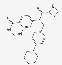 O=C([C@H]1CCN1)N(Cc1ccc(C2CCCCC2)cn1)c1ccc2c(=O)[nH]cnc2c1